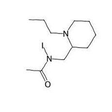 CCCN1CCCCC1CN(I)C(C)=O